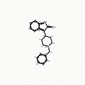 O=C1N=c2ccccc2=C1C1CCN(Cc2ccccc2)CC1